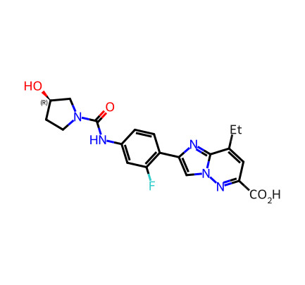 CCc1cc(C(=O)O)nn2cc(-c3ccc(NC(=O)N4CC[C@@H](O)C4)cc3F)nc12